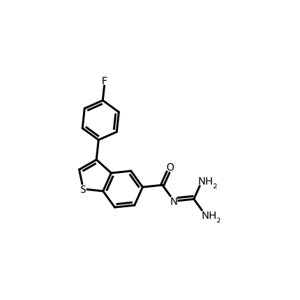 NC(N)=NC(=O)c1ccc2scc(-c3ccc(F)cc3)c2c1